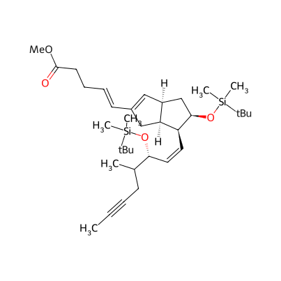 CC#CCC(C)[C@@H](/C=C\[C@H]1[C@H]2CC(C=CCCC(=O)OC)=C[C@H]2C[C@H]1O[Si](C)(C)C(C)(C)C)O[Si](C)(C)C(C)(C)C